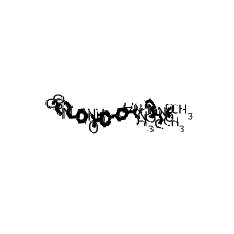 COC(=O)N[C@H](C(=O)N1CCC[C@H]1C1=NCC(c2ccc(-c3ccc(C(=O)Nc4ccc(CN5CCS(=O)(=O)CC5)cc4)cc3)cc2)N1)C(C)C